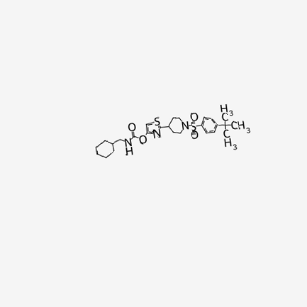 CC(C)(C)c1ccc(S(=O)(=O)N2CCC(c3nc(OC(=O)NCC4CCCCC4)cs3)CC2)cc1